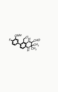 COc1cc(-c2ccc3c(c2CCl)NC(C=O)C(C)(C)N3)ccc1F